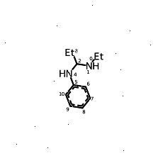 CCNC(CC)Nc1ccccc1